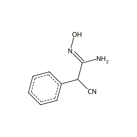 N#CC(C(N)=NO)c1ccccc1